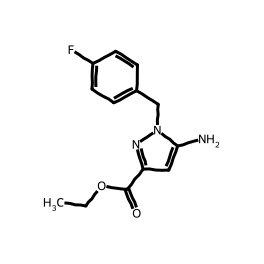 CCOC(=O)c1cc(N)n(Cc2ccc(F)cc2)n1